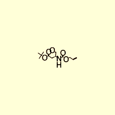 C=CCOC(=O)N[C@H](C=O)CC(=O)OC(C)(C)C